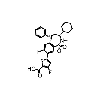 CN1[C@H](C2CCCCC2)CN(c2ccccc2)c2cc(F)c(-c3cc(F)c(C(=O)O)s3)cc2S1(=O)=O